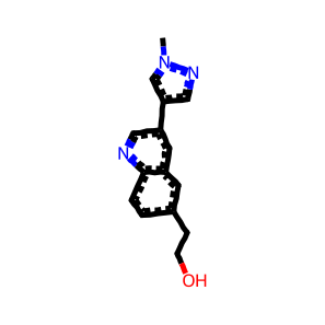 Cn1cc(-c2cnc3ccc(CCO)cc3c2)cn1